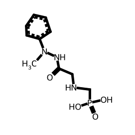 CN(NC(=O)CNCP(=O)(O)O)c1ccccc1